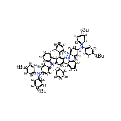 CC(C)(C)c1ccc(N(c2ccc(C(C)(C)C)cc2)c2ccc3c(c2)c2cccc4c5c(-c6ccccc6)c6c(c(-c7ccccc7)c5n3c24)c2cccc3c4cc(N(c5ccc(C(C)(C)C)cc5)c5ccc(C(C)(C)C)cc5)ccc4n6c32)cc1